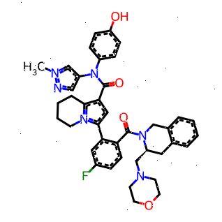 Cn1cc(N(C(=O)c2cc(-c3cc(F)ccc3C(=O)N3Cc4ccccc4C[C@H]3CN3CCOCC3)n3c2CCCC3)c2ccc(O)cc2)cn1